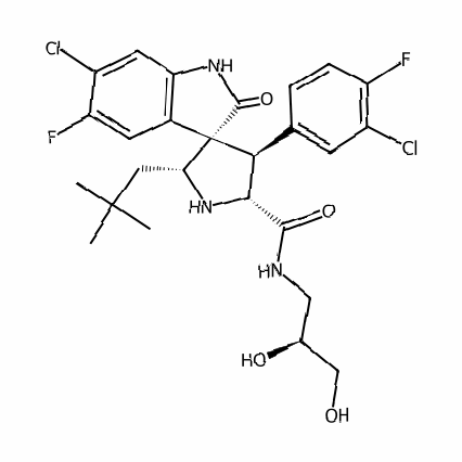 CC(C)(C)C[C@H]1N[C@@H](C(=O)NC[C@H](O)CO)[C@H](c2ccc(F)c(Cl)c2)[C@@]12C(=O)Nc1cc(Cl)c(F)cc12